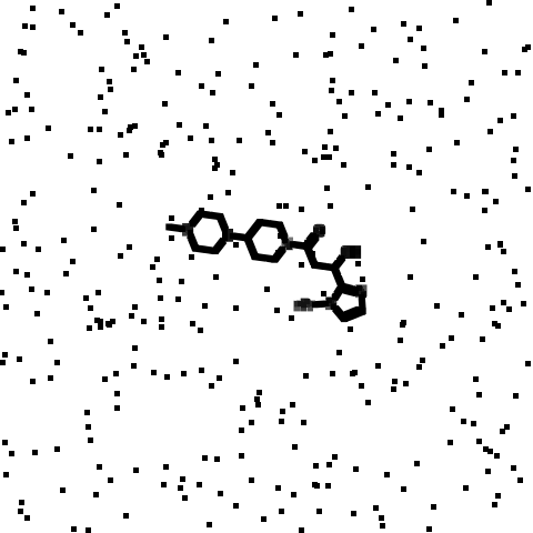 CCCn1ccnc1C(O)CC(=O)N1CCC(N2CCN(C)CC2)CC1